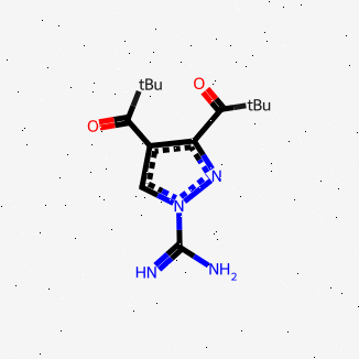 CC(C)(C)C(=O)c1cn(C(=N)N)nc1C(=O)C(C)(C)C